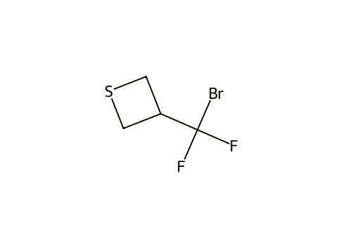 FC(F)(Br)C1CSC1